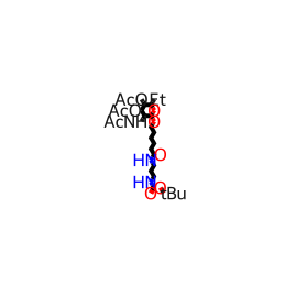 CCC1OC(OCCCCCC(=O)NCCCNC(=O)OC(C)(C)C)C(NC(C)=O)C(OC(C)=O)C1OC(C)=O